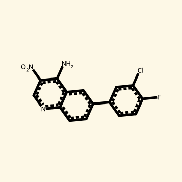 Nc1c([N+](=O)[O-])cnc2ccc(-c3ccc(F)c(Cl)c3)cc12